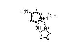 Cl.Cl.Nc1ccc(CN2CCCC2)c(O)c1